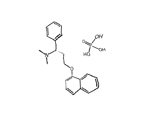 CN(C)[C@@H](CCOc1cccc2ccccc12)c1ccccc1.O=P(O)(O)O